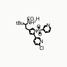 CC(C)(C)C(Cc1cc(-c2ccc(Cl)nc2)n(S(=O)(=O)c2cccnc2)c1)NC(=O)O